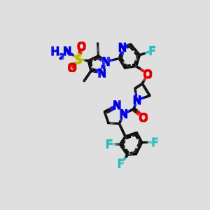 Cc1nn(-c2cc(OC3CN(C(=O)N4N=CCC4c4cc(F)cc(F)c4F)C3)c(F)cn2)c(C)c1S(N)(=O)=O